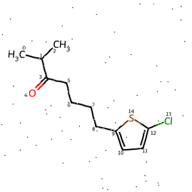 CC(C)C(=O)C[CH]CCc1ccc(Cl)s1